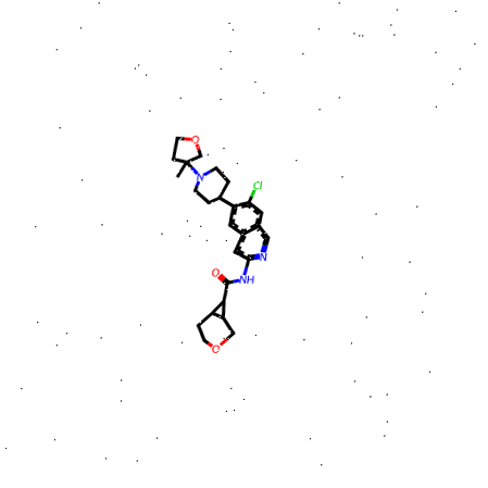 CC1(N2CCC(c3cc4cc(NC(=O)C5C6CCOCC65)ncc4cc3Cl)CC2)CCOC1